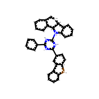 c1ccc(-c2nc(-c3ccc4sc5ccccc5c4c3)nc(-n3c4ccccc4c4ccc5ccccc5c43)n2)cc1